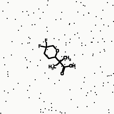 CC(C)(C(=O)O)C1CCC(F)(F)CO1